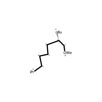 CCCC[C@@H](CCCCC(C)C)COC